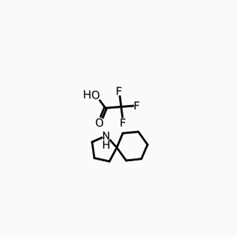 C1CCC2(CC1)CCCN2.O=C(O)C(F)(F)F